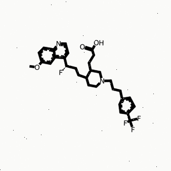 COc1ccc2nccc([C@@H](F)CCC3CCN(CCCc4ccc(C(F)(F)F)cc4)CC3CCC(=O)O)c2c1